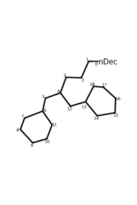 CCCCCCCCCCCCCC(CC1CCCCC1)CC1CCCCC1